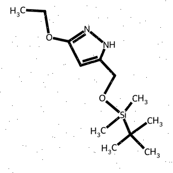 CCOc1cc(CO[Si](C)(C)C(C)(C)C)[nH]n1